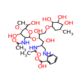 CO[C@@H]1C(CO)O[C@@H](O[C@H](C(O)CO[C@@H]2C[C@@H](C)[C@@H](O)C(O)C2O)[C@H](O)C(CNc2ccccc2C(=O)O)NC(C)=O)C(NC(C)=O)[C@H]1O